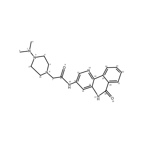 CN(C)N1CCN(CC(=O)Nc2cnc3c(c2)[nH]c(=O)c2ccccc23)CC1